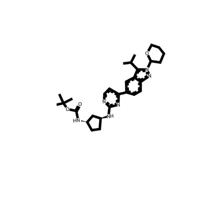 CC(C)c1c2cc(-c3ccnc(N[C@H]4CC[C@H](NC(=O)OC(C)(C)C)C4)n3)ccc2nn1C1CCCCO1